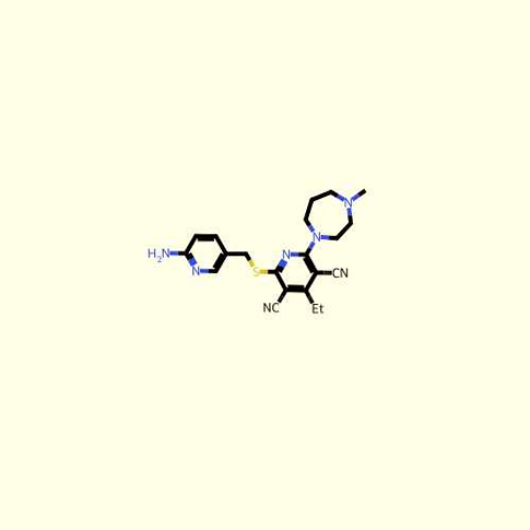 CCc1c(C#N)c(SCc2ccc(N)nc2)nc(N2CCCN(C)CC2)c1C#N